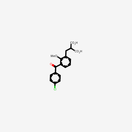 COc1c(CC(C(=O)O)C(=O)O)cccc1C(=O)c1ccc(Cl)cc1